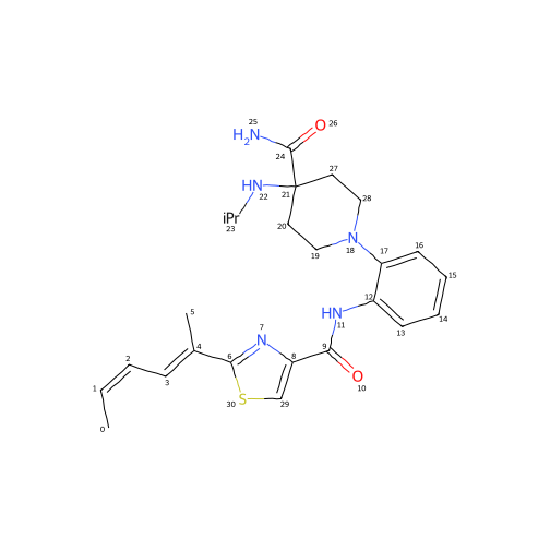 C/C=C\C=C(/C)c1nc(C(=O)Nc2ccccc2N2CCC(NC(C)C)(C(N)=O)CC2)cs1